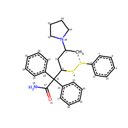 CC(CC(SSc1ccccc1)C(C(N)=O)(c1ccccc1)c1ccccc1)N1CCCC1